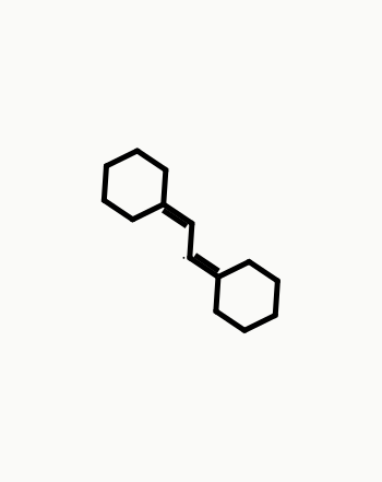 [C](C=C1CCCCC1)=C1CCCCC1